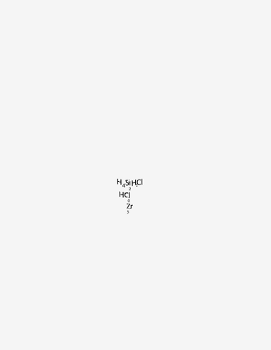 Cl.Cl.[SiH4].[Zr]